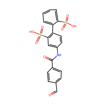 O=Cc1ccc(C(=O)Nc2ccc(-c3ccccc3S(=O)(=O)O)c(S(=O)(=O)O)c2)cc1